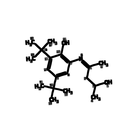 CC(CC(C)O)=Nc1cc(C(C)(C)C)cc(C(C)(C)C)c1O